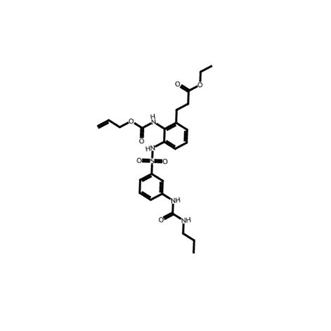 C=CCOC(=O)Nc1c(CCC(=O)OCC)cccc1NS(=O)(=O)c1cccc(NC(=O)NCCC)c1